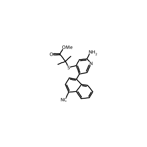 COC(=O)C(C)(C)Sc1cc(N)ncc1-c1ccc(C#N)c2ccccc12